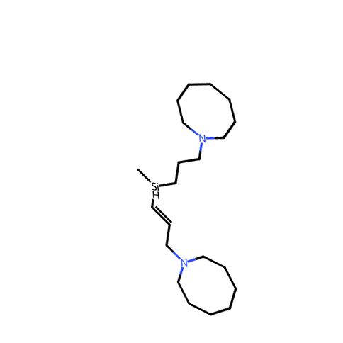 C[SiH](C=CCN1CCCCCCC1)CCCN1CCCCCCC1